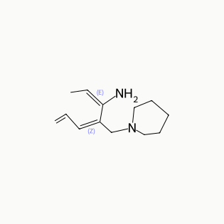 C=C/C=C(CN1CCCCC1)\C(N)=C/C